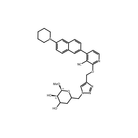 CO[C@H]1OC(Cn2cc(COc3nccc(-c4ccc5cc(N6CCCCC6)ccc5c4)c3C#N)nn2)CC(O)[C@H]1O